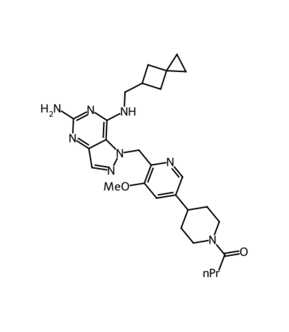 CCCC(=O)N1CCC(c2cnc(Cn3ncc4nc(N)nc(NCC5CC6(CC6)C5)c43)c(OC)c2)CC1